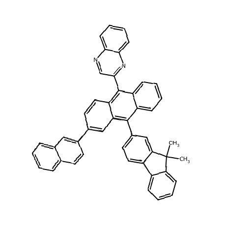 CC1(C)c2ccccc2-c2ccc(-c3c4ccccc4c(-c4cnc5ccccc5n4)c4ccc(-c5ccc6ccccc6c5)cc34)cc21